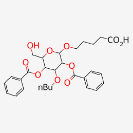 CCCCOC1C(OC(=O)c2ccccc2)C(CO)OC(OCCCCC(=O)O)C1OC(=O)c1ccccc1